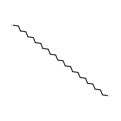 [CH2]CCCCCCCCCCCCCCCCCCCCCCCC[CH2]